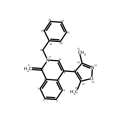 C=C1c2ccccc2C(c2c(C)noc2C)=CN1Cc1ccccc1